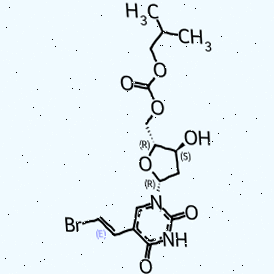 CC(C)COC(=O)OC[C@H]1O[C@@H](n2cc(/C=C/Br)c(=O)[nH]c2=O)C[C@@H]1O